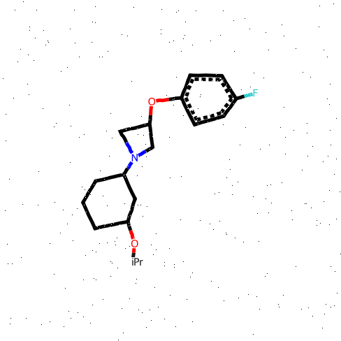 CC(C)OC1CCCC(N2CC(Oc3ccc(F)cc3)C2)C1